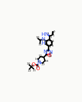 C=CC(=N)c1ccc(-c2noc(C3CCN(C(=O)OC(C)(C)C)CC3)n2)cc1NC(C)C